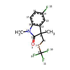 CN1C(=O)C(C)(CSC(F)(F)F)c2cc(F)ccc21